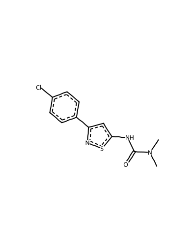 CN(C)C(=O)Nc1cc(-c2ccc(Cl)cc2)ns1